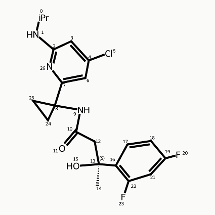 CC(C)Nc1cc(Cl)cc(C2(NC(=O)C[C@](C)(O)c3ccc(F)cc3F)CC2)n1